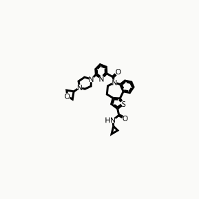 O=C(NC1CC1)c1cc2c(s1)-c1ccccc1N(C(=O)c1cccc(N3CCN(C4COC4)CC3)n1)CC2